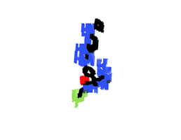 Nc1ncnn2cc(C(=O)NCC(F)(F)F)c(-c3ccc(Nc4nc5ccc(NC6CCC6)nc5[nH]4)cc3)c12